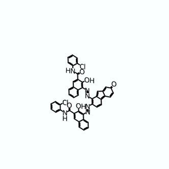 O=C1C=CC2=c3ccc(N=Nc4c(O)c(C(=O)Nc5ccccc5Cl)cc5ccccc45)c(N=Nc4c(O)c(C(=O)Nc5ccccc5Cl)cc5ccccc45)c3=CC2=C1